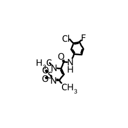 CC1=NS(=O)(=O)N(C)C(C(=O)Nc2ccc(F)c(Cl)c2)=C1